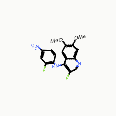 COc1cc2ncc(F)c(Nc3ccc(N)cc3F)c2cc1OC